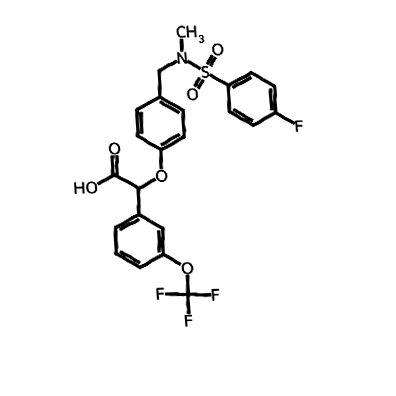 CN(Cc1ccc(OC(C(=O)O)c2cccc(OC(F)(F)F)c2)cc1)S(=O)(=O)c1ccc(F)cc1